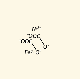 O=C([O-])[O-].O=C([O-])[O-].[Fe+2].[Ni+2]